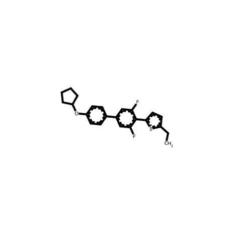 CCc1ccc(-c2c(F)cc(-c3ccc(OC4CCCC4)cc3)cc2F)s1